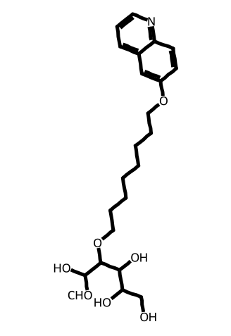 O=CC(O)C(OCCCCCCCCOc1ccc2ncccc2c1)C(O)C(O)CO